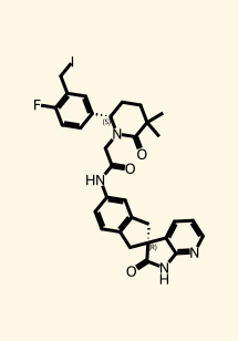 CC1(C)CC[C@@H](c2ccc(F)c(CI)c2)N(CC(=O)Nc2ccc3c(c2)C[C@@]2(C3)C(=O)Nc3ncccc32)C1=O